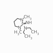 CCN(CC)P1(=N)N(C)CCCN1C